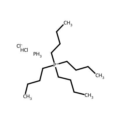 CCCC[P+](CCCC)(CCCC)CCCC.Cl.P.[Cl-]